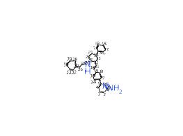 Nc1cccc(-c2ccc(CCC3CC(c4ccccc4)CCC3NCCc3ccccc3)cc2)n1